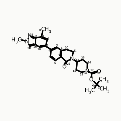 Cc1cc(-c2ccc3c(c2)CCN(C2CCN(C(=O)OC(C)(C)C)CC2)C3=O)cc2cn(C)nc12